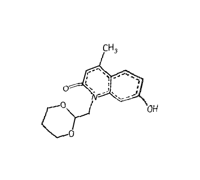 Cc1cc(=O)n(CC2OCCCO2)c2cc(O)ccc12